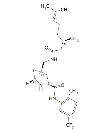 CC(C)=CCC[C@@H](C)CC(=O)NC[C@@]12C[C@@H](C(=O)Nc3nc(C(F)(F)F)ccc3C)N[C@@H]1C2